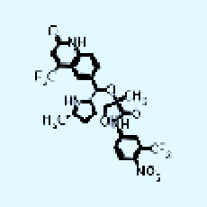 C[C@@H]1CC[C@H](C(OC(C)(CO)C(=O)Nc2ccc([N+](=O)[O-])c(C(F)(F)F)c2)c2ccc3[nH]c(=O)cc(C(F)(F)F)c3c2)N1